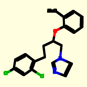 COc1ccccc1OC(CCc1ccc(Cl)cc1Cl)Cn1ccnc1